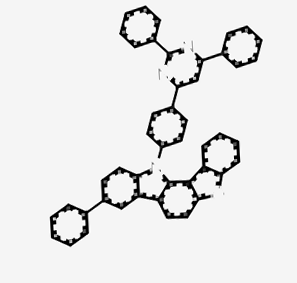 c1ccc(-c2ccc3c(c2)c2ccc4oc5ccccc5c4c2n3-c2ccc(-c3cc(-c4ccccc4)nc(-c4ccccc4)n3)cc2)cc1